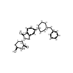 O=C1CC[C@H](N2Cc3cc([C@H]4CCCN(Cc5ccccc5)CC4)ccc3C2=O)C(=O)N1